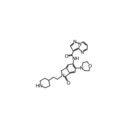 O=C(Nc1cc2c(cc1N1CCOCC1)C(=O)N(CCC1CCNCC1)C2)c1cnn2cccnc12